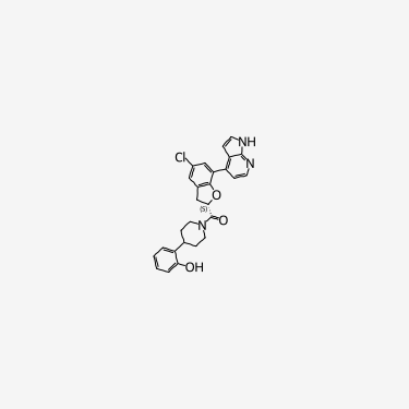 O=C([C@@H]1Cc2cc(Cl)cc(-c3ccnc4[nH]ccc34)c2O1)N1CCC(c2ccccc2O)CC1